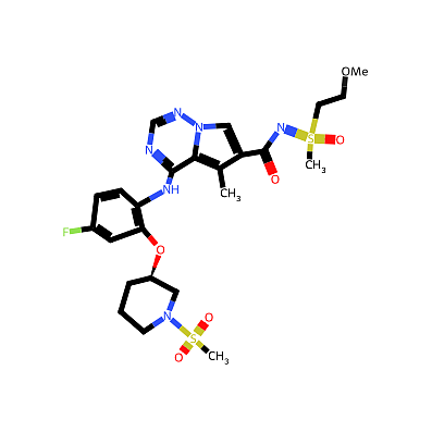 COCCS(C)(=O)=NC(=O)c1cn2ncnc(Nc3ccc(F)cc3O[C@@H]3CCCN(S(C)(=O)=O)C3)c2c1C